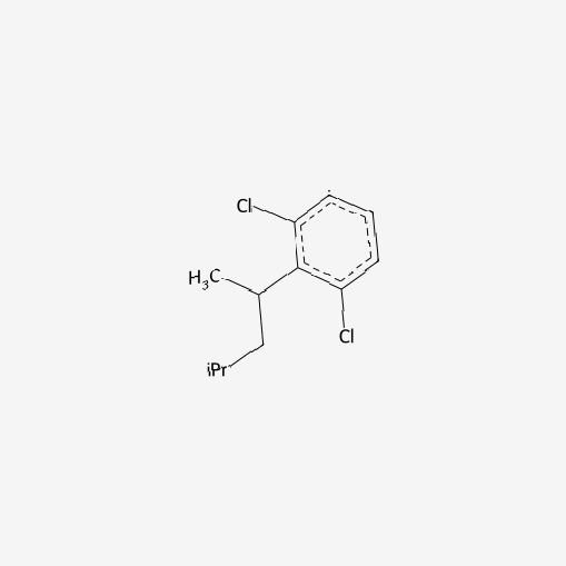 CC(C)CC(C)c1c(Cl)[c]ccc1Cl